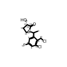 CC(c1cc(F)cc(Cl)c1CCl)N1CC[C@H](O)C1=O